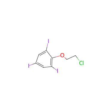 ClCCOc1c(I)cc(I)cc1I